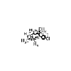 CCCCc1c(/C(=N\C/C(C)=N/N=C(C)C)c2ccc(Cl)cc2)c(C)c(C)n1C